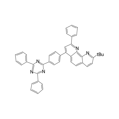 CC(C)(C)c1ccc2ccc3c(-c4ccc(-c5nc(-c6ccccc6)nc(-c6ccccc6)n5)cc4)cc(-c4ccccc4)nc3c2n1